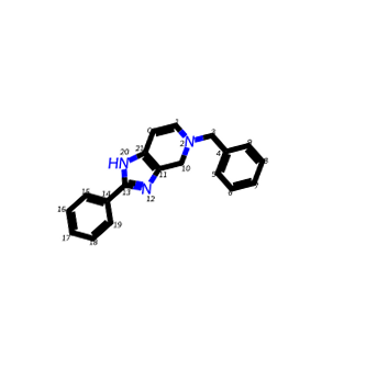 C1=CN(Cc2ccccc2)Cc2nc(-c3ccccc3)[nH]c21